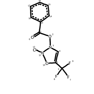 O=C(ON1C=C(C(F)(F)F)ON1Cl)c1ccccc1